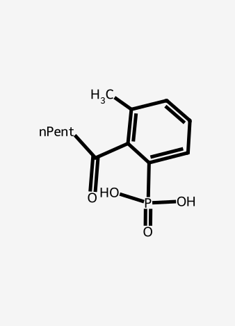 CCCCCC(=O)c1c(C)cccc1P(=O)(O)O